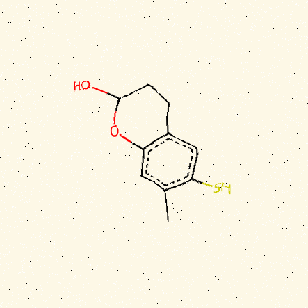 Cc1cc2c(cc1S)CCC(O)O2